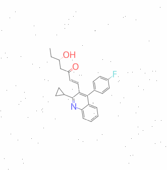 CC[C@H](O)CC(=O)/C=C/c1c(C2CC2)nc2ccccc2c1-c1ccc(F)cc1